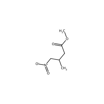 COC(=O)CC(C)C[N+](=O)[O-]